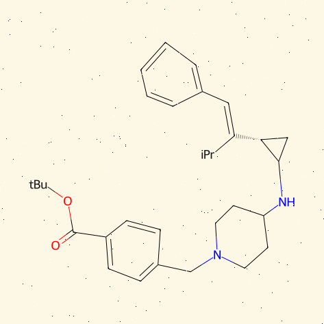 CC(C)/C(=C\c1ccccc1)[C@@H]1CC1NC1CCN(Cc2ccc(C(=O)OC(C)(C)C)cc2)CC1